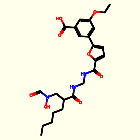 CCCCCC(CN(O)C=O)C(=O)NCNC(=O)c1ccc(-c2cc(OCC)cc(C(=O)O)c2)o1